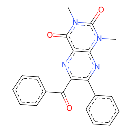 Cn1c(=O)c2nc(C(=O)c3ccccc3)c(-c3ccccc3)nc2n(C)c1=O